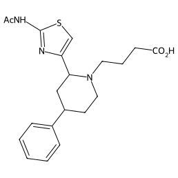 CC(=O)Nc1nc(C2CC(c3ccccc3)CCN2CCCC(=O)O)cs1